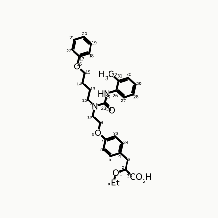 CCOC(Cc1ccc(OCCN(CCCCOc2ccccc2)C(=O)Nc2ccccc2C)cc1)C(=O)O